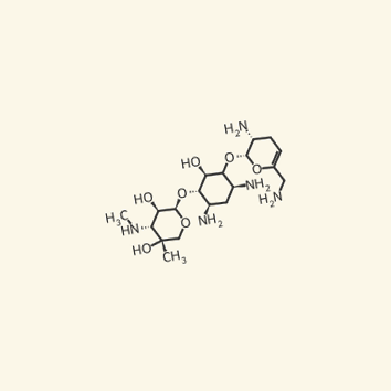 CN[C@@H]1[C@@H](O)[C@@H](O[C@H]2[C@H](N)C[C@H](N)C(O[C@H]3OC(CN)=CC[C@H]3N)[C@@H]2O)OC[C@]1(C)O